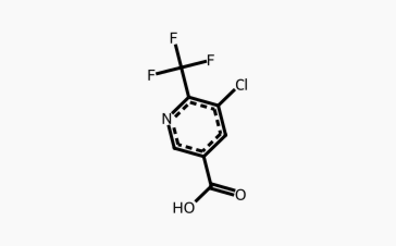 O=C(O)c1cnc(C(F)(F)F)c(Cl)c1